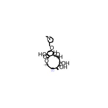 C=C1/C=C\C[C@H](C)OC(=O)c2c(O)cc(OCC3CCCN(C)C3)cc2[C@H]2O[C@@H]2C[C@H](O)[C@@H]1O